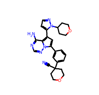 N#CC1(c2cccc(-c3cc(-c4ccnn4C4CCOCC4)c4c(N)ncnn34)c2)CCOCC1